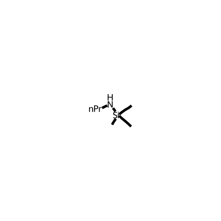 [CH2]CCN[Si](C)(C)C